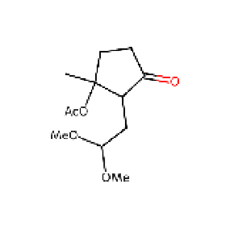 COC(CC1C(=O)CCC1(C)OC(C)=O)OC